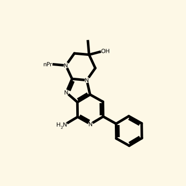 CCCN1CC(C)(O)Cn2c1nc1c(N)nc(-c3ccccc3)cc12